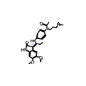 CC/C(Nc1ccc(N(CCCN(C)C)C(C)=O)cc1)=C1/C(=O)Nc2cc(OC)c(OC)cc21